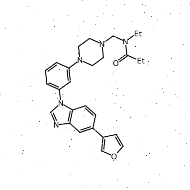 CCC(=O)N(CC)CN1CCN(c2cccc(-n3cnc4cc(-c5ccoc5)ccc43)c2)CC1